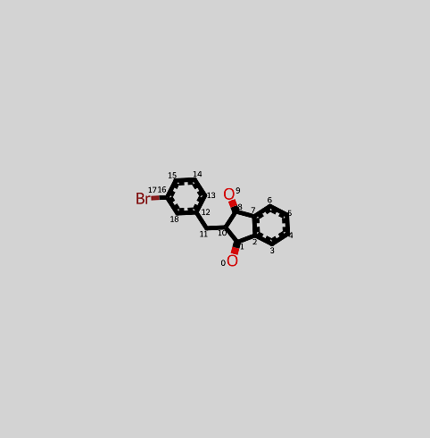 O=C1c2ccccc2C(=O)C1Cc1cccc(Br)c1